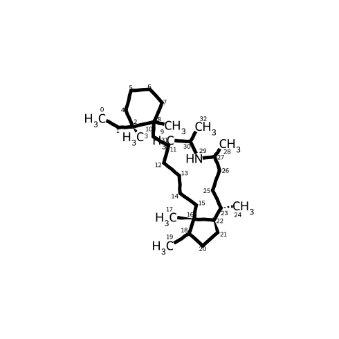 CC[C@@]1(C)CCCCC1(C)CCCCCC[C@@]1(C)C(C)CC[C@@H]1[C@@H](C)CCC(C)NC(C)C